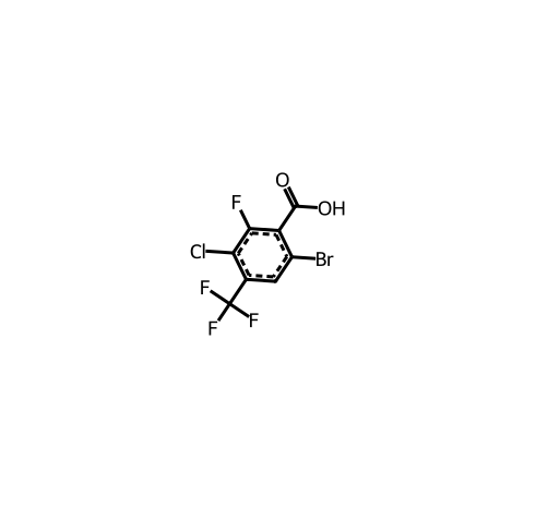 O=C(O)c1c(Br)cc(C(F)(F)F)c(Cl)c1F